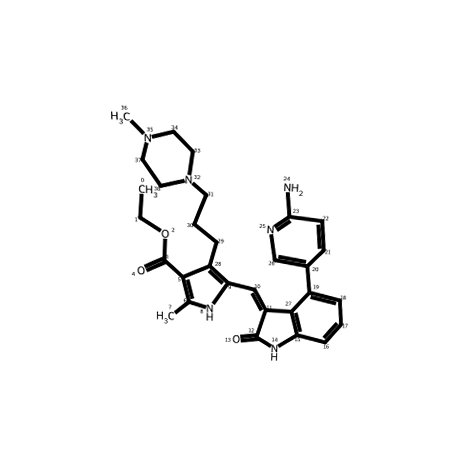 CCOC(=O)c1c(C)[nH]c(C=C2C(=O)Nc3cccc(-c4ccc(N)nc4)c32)c1CCCN1CCN(C)CC1